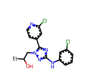 CCC(O)Cn1nc(Nc2cccc(Cl)c2)nc1-c1ccnc(Cl)c1